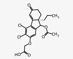 CCC[C@@]12CCC(=O)C=C1c1c(cc(OCC(=O)O)c(Cl)c1Cl)C2OC(C)=O